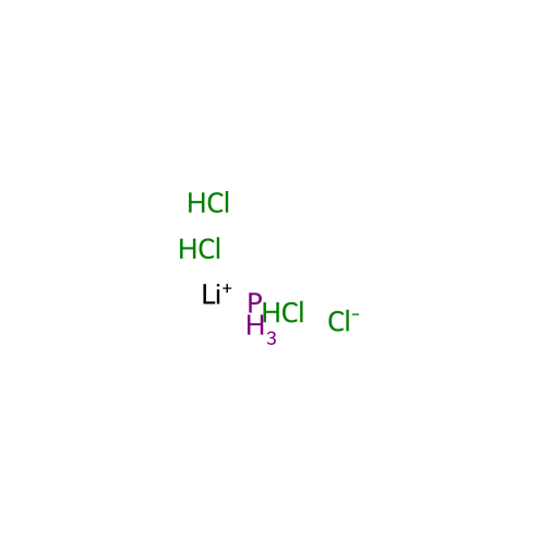 Cl.Cl.Cl.P.[Cl-].[Li+]